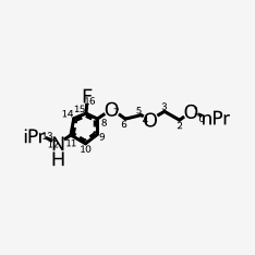 CCCOCCOCCOc1ccc(NC(C)C)cc1F